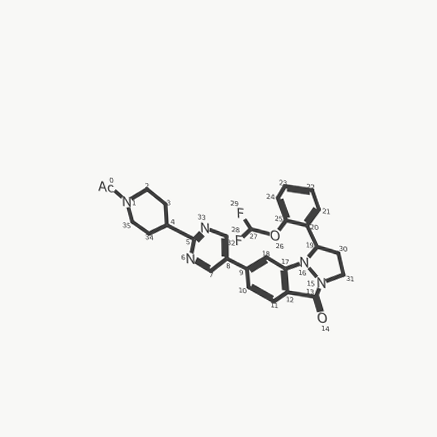 CC(=O)N1CCC(c2ncc(-c3ccc4c(=O)n5n(c4c3)C(c3ccccc3OC(F)F)CC5)cn2)CC1